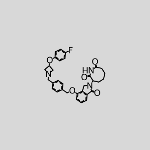 O=C1CCCCC(N2Cc3c(OCc4ccc(CN5CC(Oc6ccc(F)cc6)C5)cc4)cccc3C2=O)C(=O)N1